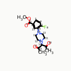 COC(=O)c1ccc(F)c(N2CCN(C(C(C)=O)C(C)=O)CC2)c1